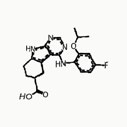 CC(C)Oc1cc(F)ccc1Nc1ncnc2[nH]c3c(c12)CC(C(=O)O)CC3